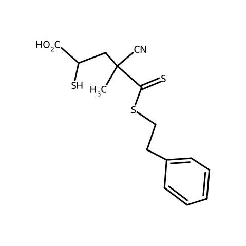 CC(C#N)(CC(S)C(=O)O)C(=S)SCCc1ccccc1